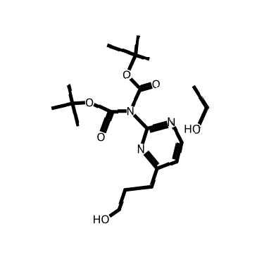 CC(C)(C)OC(=O)N(C(=O)OC(C)(C)C)c1nccc(CCCO)n1.CCO